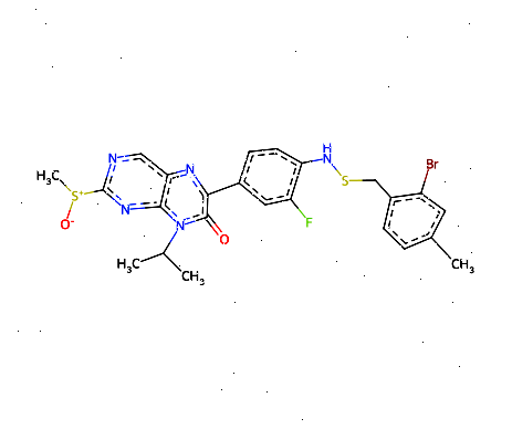 Cc1ccc(CSNc2ccc(-c3nc4cnc([S+](C)[O-])nc4n(C(C)C)c3=O)cc2F)c(Br)c1